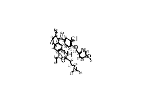 CCOc1cc2c(cc1NC(=O)CCCN(C)C)C(Nc1ccc(OCc3ccc(OC)cn3)c(Cl)c1)C(C#N)C=N2